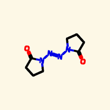 O=C1CCCN1N=NN1CCCC1=O